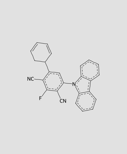 N#Cc1c(C2C=CC=CC2)cc(-n2c3ccccc3c3ccccc32)c(C#N)c1F